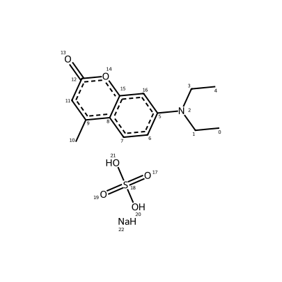 CCN(CC)c1ccc2c(C)cc(=O)oc2c1.O=S(=O)(O)O.[NaH]